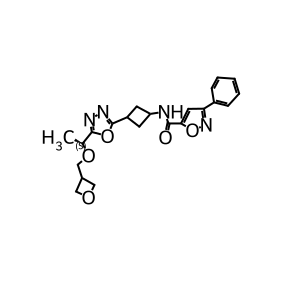 C[C@H](OCC1COC1)c1nnc(C2CC(NC(=O)c3cc(-c4ccccc4)no3)C2)o1